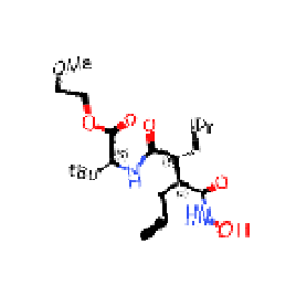 C=CC[C@H](C(=O)NO)[C@@H](CC(C)C)C(=O)N[C@H](C(=O)OCCOC)C(C)(C)C